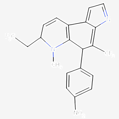 CN1C2=C(C=CC1CC(F)(F)F)C1=CC=NC1=C(C(F)(F)F)C2c1ccc([N+](=O)[O-])cc1